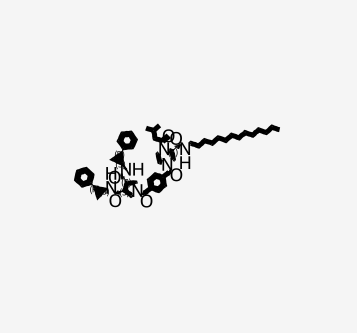 CCCCCCCCCCCCCCNC(=O)[C@@H]1CN(C(=O)c2ccc(C(=O)N3C[C@@H](C(=O)N[C@H]4C[C@@H]4c4ccccc4)[C@H](C(=O)N[C@H]4C[C@@H]4c4ccccc4)C3)cc2)CCN1C(=O)CC(C)C